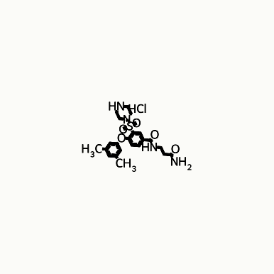 Cc1cc(C)cc(Oc2ccc(C(=O)NCCC(N)=O)cc2S(=O)(=O)N2CCNCC2)c1.Cl